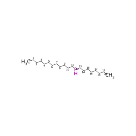 CCCCCCCCCCCCPCCCCCCCC